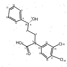 O=C(O)N(CC[C@@H](O)c1ccccc1)c1ccc(Cl)c(Cl)c1